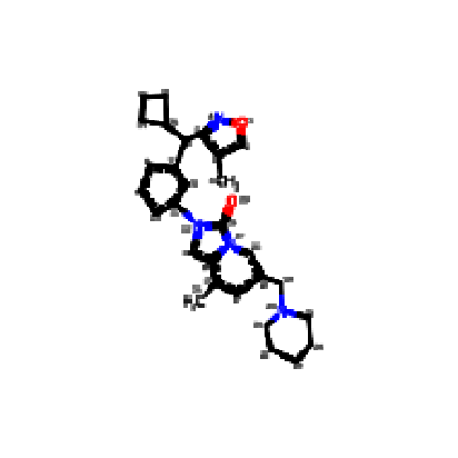 Cc1conc1C(c1cccc(-n2cc3c(C(F)(F)F)cc(CN4CCCCC4)cn3c2=O)c1)C1CCC1